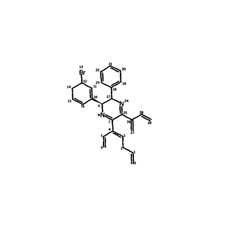 C=CC/C=C(\C=C)C1=N[C@@H](C2=CC(Br)CC=C2)C(c2ccccc2)N=C1C(=C)C=C